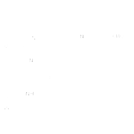 Cn1c(=O)n(C2CCC(=O)NC2=O)c2ccc(N3CCC(C=O)C3)cc21